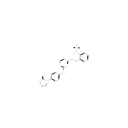 CN(c1ccccc1CCc1ccnc(Nc2ccc(N3CCCC3=O)cc2)n1)S(C)(=O)=O